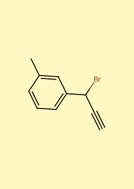 C#CC(Br)c1cccc(C)c1